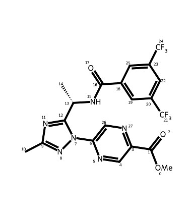 COC(=O)c1cnc(-n2nc(C)nc2[C@H](C)NC(=O)c2cc(C(F)(F)F)cc(C(F)(F)F)c2)cn1